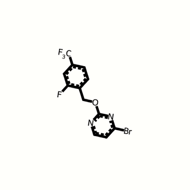 Fc1cc(C(F)(F)F)ccc1COc1nccc(Br)n1